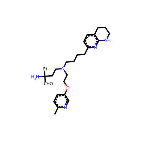 CCC(N)(C=O)CCN(CCCCc1ccc2c(n1)NCCC2)CCOc1ccc(C)nc1